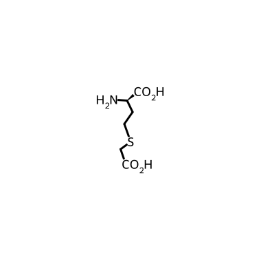 N[C@H](CCSCC(=O)O)C(=O)O